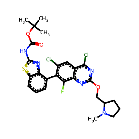 CN1CCCC1COc1nc(Cl)c2cc(Cl)c(-c3cccc4sc(NC(=O)OC(C)(C)C)nc34)c(F)c2n1